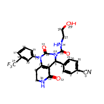 N#Cc1ccc(C2C3=C(CCNC3=O)N(c3cccc(C(F)(F)F)c3)C(=O)N2C(=O)NCCO)cc1